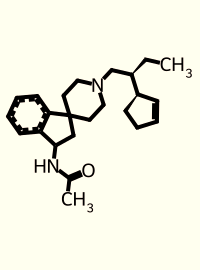 CC[C@H](CN1CCC2(CC1)CC(NC(C)=O)c1ccccc12)[C@H]1C=CCC1